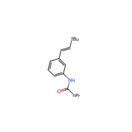 CCCC(=O)Nc1cccc(/C=C/C(C)(C)C)c1